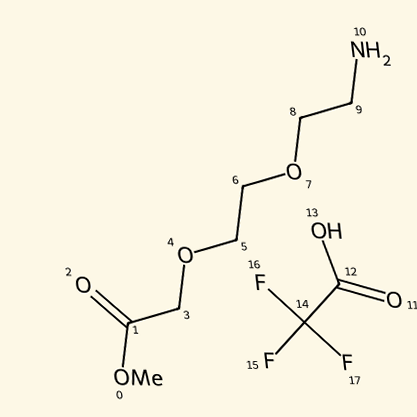 COC(=O)COCCOCCN.O=C(O)C(F)(F)F